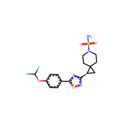 NS(=O)(=O)N1CCC2(CC1)C[C@H]2c1noc(-c2ccc(OC(F)F)cc2)n1